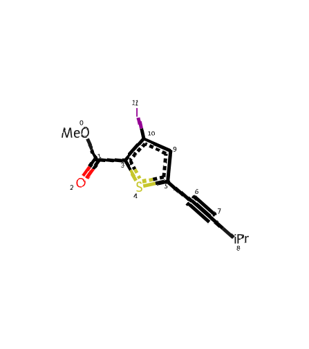 COC(=O)c1sc(C#CC(C)C)cc1I